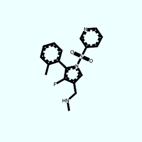 CNCc1cn(S(=O)(=O)c2cccnc2)c(-c2ccccc2C)c1F